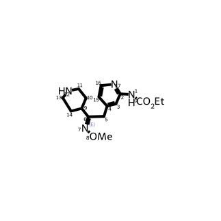 CCOC(=O)Nc1cc(C/C(=N\OC)C2CCNCC2)ccn1